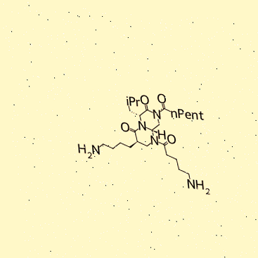 CCCCCC(=O)N1C[C@@H]2N(C(=O)CCCCN)C[C@@H](CCCCN)C(=O)N2[C@H](CC(C)C)C1=O